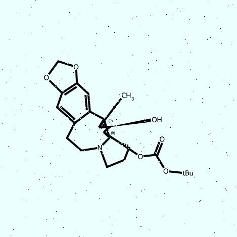 CC1=C2c3cc4c(cc3CCN3CCC[C@]23C(OC(=O)OC(C)(C)C)[C@@H]1O)OCO4